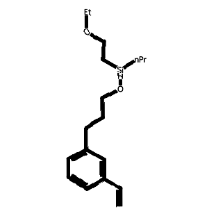 C=Cc1cccc(CCCO[SiH](CCC)CCOCC)c1